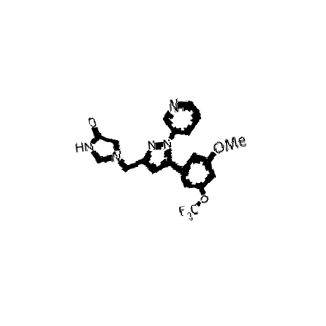 COc1cc(OC(F)(F)F)cc(-c2cc(CN3CNC(=O)C3)nn2-c2cccnc2)c1